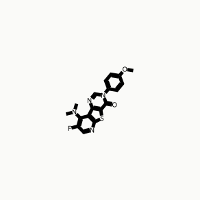 COc1ccc(-n2cnc3c(sc4ncc(F)c(N(C)C)c43)c2=O)cc1